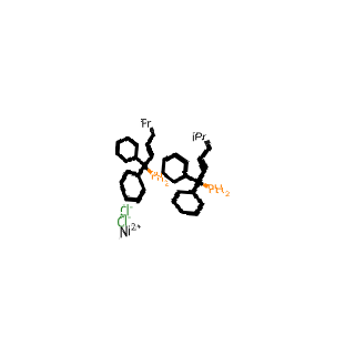 CC(C)CC=CC(P)(C1CCCCC1)C1CCCCC1.CC(C)CC=CC(P)(C1CCCCC1)C1CCCCC1.[Cl-].[Cl-].[Ni+2]